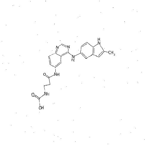 Cc1cc2cc(Nc3ncnc4ccc(NC(=O)CCNC(=O)O)cc34)ccc2[nH]1